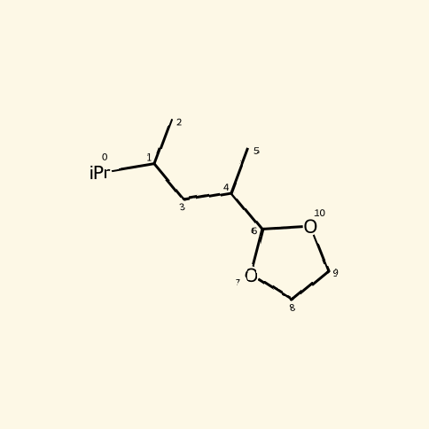 CC(C)C(C)CC(C)C1OCCO1